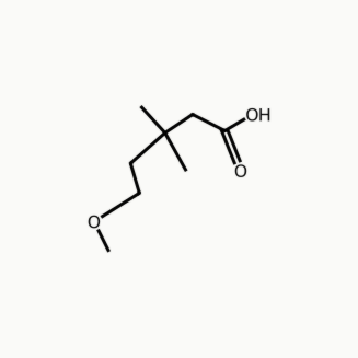 COCCC(C)(C)CC(=O)O